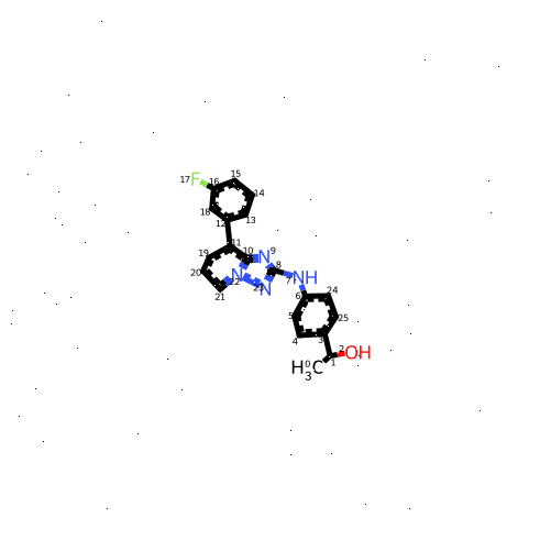 CC(O)c1ccc(Nc2nc3c(-c4cccc(F)c4)cccn3n2)cc1